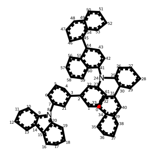 c1cc(-c2cccc(-n3c4ccccc4c4ccccc43)c2)cc(N(c2ccccc2-c2ccc3ccccc3c2)c2ccc(-c3cccc4ccccc34)c3ccccc23)c1